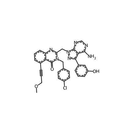 COCC#Cc1cccc2nc(Cn3nc(-c4cccc(O)c4)c4c(N)ncnc43)n(Cc3ccc(Cl)cc3)c(=O)c12